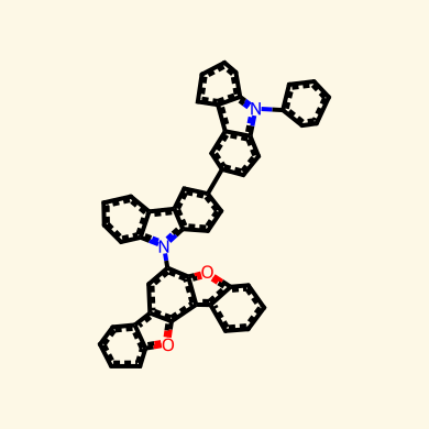 c1ccc(-n2c3ccccc3c3cc(-c4ccc5c(c4)c4ccccc4n5-c4cc5c6ccccc6oc5c5c4oc4ccccc45)ccc32)cc1